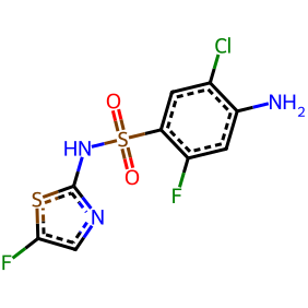 Nc1cc(F)c(S(=O)(=O)Nc2ncc(F)s2)cc1Cl